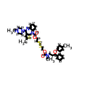 Cc1ccc(OC(CCN(C)C(=O)OCCSSCCOC(=O)N2c3ccccc3N=C(N3CCN(C)CC3)c3cc(C)sc32)c2ccccc2)cc1